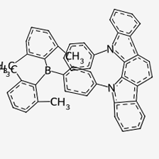 Cc1cccc(C)c1B(c1ccc(-n2c3ccccc3c3ccc4c5ccccc5n(-c5ccccc5)c4c32)cc1)c1c(C)cccc1C